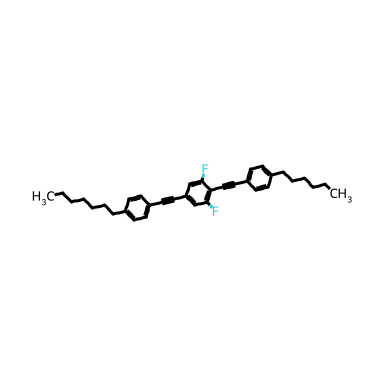 CCCCCCCc1ccc(C#Cc2cc(F)c(C#Cc3ccc(CCCCCC)cc3)c(F)c2)cc1